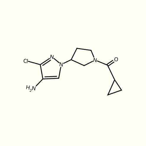 Nc1cn(C2CCN(C(=O)C3CC3)C2)nc1Cl